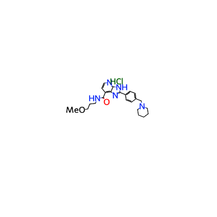 COCCCNC(=O)c1ccnc2[nH]c(-c3ccc(CN4CCCCC4)cc3)nc12.Cl